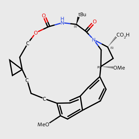 COc1cc2ccc3cc2cc1CCCC1(CCOC(=O)N[C@@H](C(C)(C)C)C(=O)N2C[C@@]3(OC)C[C@H]2C(=O)O)CC1